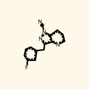 N#Cn1nc(Cc2cccc(F)c2)c2ncccc21